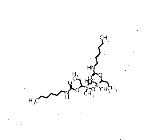 CCCCCCNC(=O)OC(CC)[Si](C)(C)O[Si](C)(C)C(CC)OC(=O)NCCCCCC